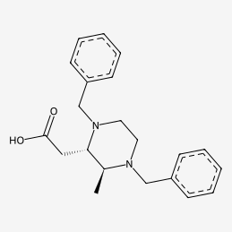 C[C@H]1[C@H](CC(=O)O)N(Cc2ccccc2)CCN1Cc1ccccc1